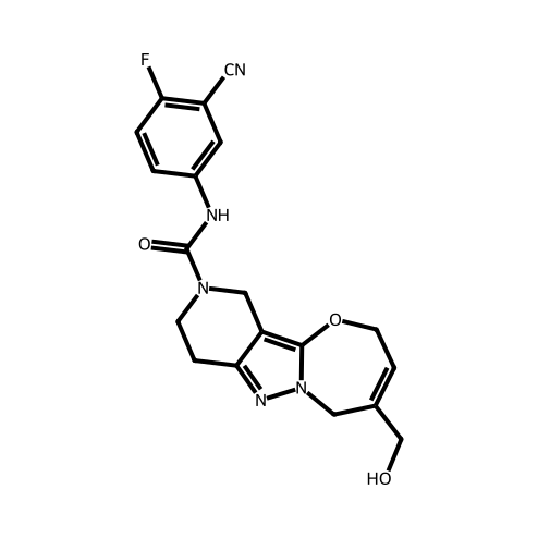 N#Cc1cc(NC(=O)N2CCc3nn4c(c3C2)OCC=C(CO)C4)ccc1F